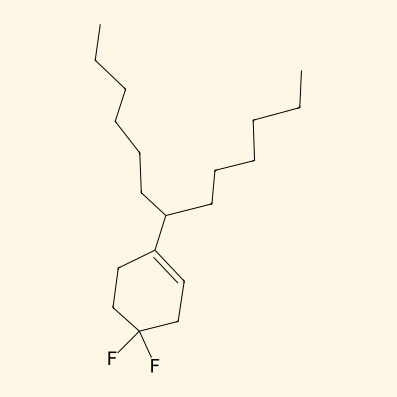 CCCCCCC(CCCCCC)C1=CCC(F)(F)CC1